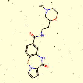 CC(=O)N1CCOC(CCNC(=O)c2ccc3c(c2)NC(=O)c2cccn2S3)C1